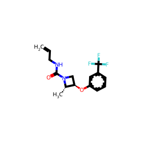 C=CCNC(=O)N1C[C@@H](Oc2cccc(C(F)(F)F)c2)[C@@H]1C